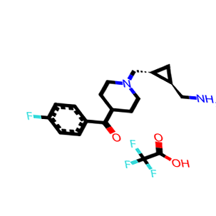 NC[C@@H]1C[C@H]1CN1CCC(C(=O)c2ccc(F)cc2)CC1.O=C(O)C(F)(F)F